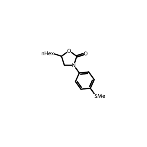 CCCCCCC1CN(c2ccc(SC)cc2)C(=O)O1